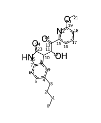 CCCCc1ccc2c(c1)C(C(O)C(=O)c1cccc(OC)n1)C(=O)N2